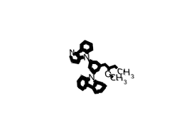 CCC(Cc1cc(-n2c3ccccc3c3ccccc32)cc(-n2c3ccccc3c3ncccc32)c1)OC